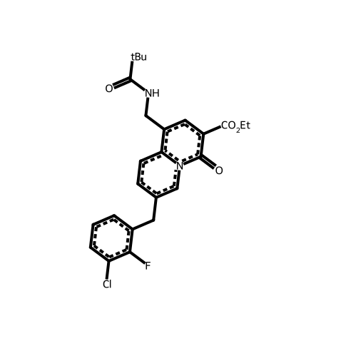 CCOC(=O)c1cc(CNC(=O)C(C)(C)C)c2ccc(Cc3cccc(Cl)c3F)cn2c1=O